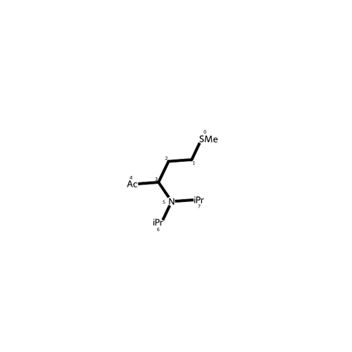 CSCCC(C(C)=O)N(C(C)C)C(C)C